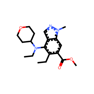 CCc1c(C(=O)OC)cc2c(cnn2C)c1N(CC)C1CCOCC1